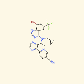 CC(c1nccnc1-c1ccc(C#N)cn1)N(CC1CC1)c1ncnc2c(Br)cc(C(F)(F)F)cc12